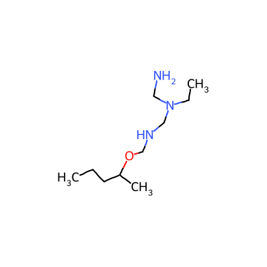 CCCC(C)OCNCN(CC)CN